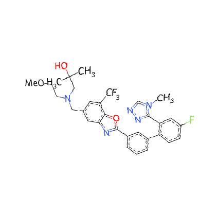 COCCN(Cc1cc(C(F)(F)F)c2oc(-c3cccc(-c4ccc(F)cc4-c4nncn4C)c3)nc2c1)CC(C)(C)O